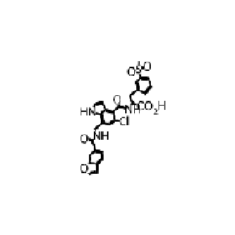 CS(=O)(=O)c1cccc(CC(NC(=O)c2c(Cl)cc(CNC(=O)c3ccc4ccoc4c3)c3[nH]ccc23)C(=O)O)c1